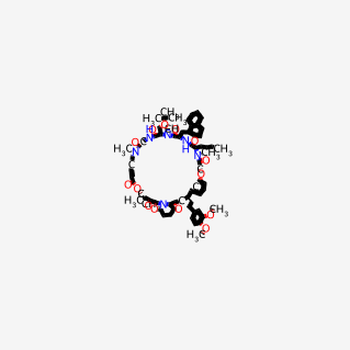 CCCCC1C(=O)NC(Cc2cccc3ccccc23)C(=O)N(C)C(COC(C)(C)C)C(=O)NCC(=O)N(C)CC/C=C\C(=O)OCC(C)(C)C(=O)C(=O)N2CCCCC2C(=O)C[C@H](CCc2ccc(OC)c(OC)c2)c2cccc(c2)OCC(=O)N1C